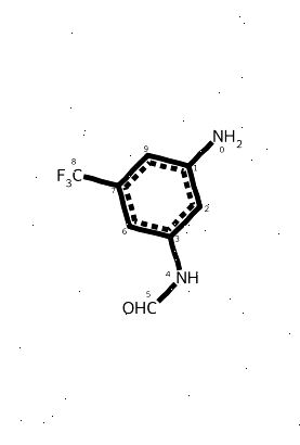 Nc1cc(NC=O)cc(C(F)(F)F)c1